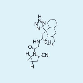 C[C@H](CC1(c2nn[nH]n2)C2CCCCC2CC2CCCCC21)NCC(=O)N1C(C#N)C[C@@H]2C[C@@H]21